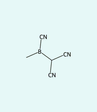 CB(C#N)C(C#N)C#N